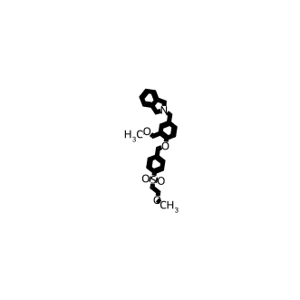 COCCS(=O)(=O)c1ccc(COc2ccc(CN3Cc4ccccc4C3)cc2COC)cc1